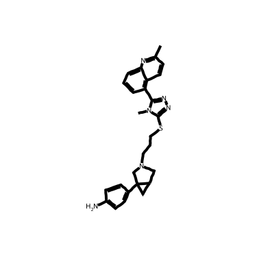 Cc1ccc2c(-c3nnc(SCCCN4CC5CC5(c5ccc(N)cc5)C4)n3C)cccc2n1